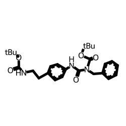 CC(C)(C)OC(=O)NCCc1ccc(NC(=O)N(Cc2ccccc2)C(=O)OC(C)(C)C)cc1